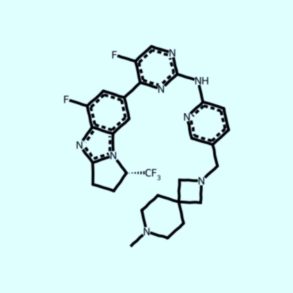 CN1CCC2(CC1)CN(Cc1ccc(Nc3ncc(F)c(-c4cc(F)c5nc6n(c5c4)[C@H](C(F)(F)F)CC6)n3)nc1)C2